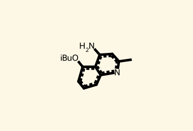 Cc1cc(N)c2c(OCC(C)C)cccc2n1